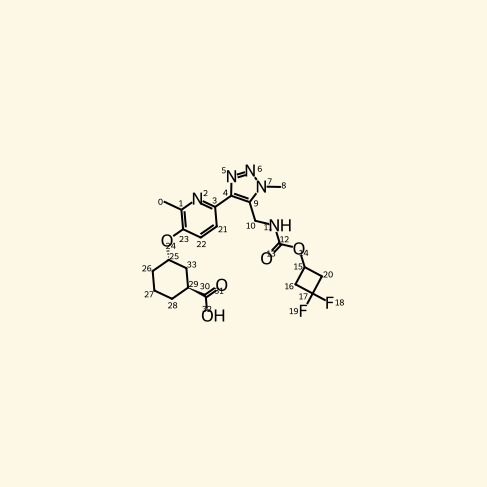 Cc1nc(-c2nnn(C)c2CNC(=O)OC2CC(F)(F)C2)ccc1O[C@H]1CCC[C@H](C(=O)O)C1